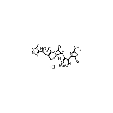 CO/N=C(\C(=O)NC1C(=O)N2C(C(=O)O)=C(CSc3nnnn3C)CS[C@H]12)c1nc(N)sc1Br.Cl